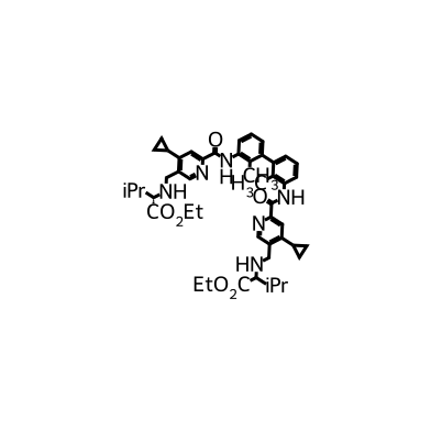 CCOC(=O)C(NCc1cnc(C(=O)Nc2cccc(-c3cccc(NC(=O)c4cc(C5CC5)c(CN[C@H](C(=O)OCC)C(C)C)cn4)c3C)c2C)cc1C1CC1)C(C)C